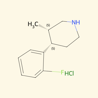 C[C@@H]1CNCC[C@@H]1c1ccccc1F.Cl